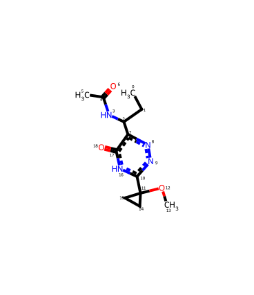 CCC(NC(C)=O)c1nnc(C2(OC)CC2)[nH]c1=O